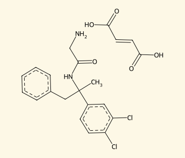 CC(Cc1ccccc1)(NC(=O)CN)c1ccc(Cl)c(Cl)c1.O=C(O)C=CC(=O)O